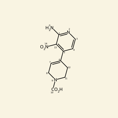 Nc1nccc(C2=CCN(C(=O)O)CC2)c1[N+](=O)[O-]